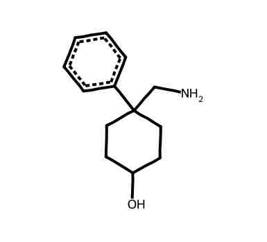 NCC1(c2ccccc2)CCC(O)CC1